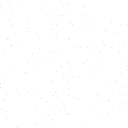 Cc1cc(C)c(S(N)(=O)=O)c(C)c1CCCCc1c(Br)ccc2c1CCCN2